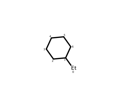 [CH]CC1CCCCC1